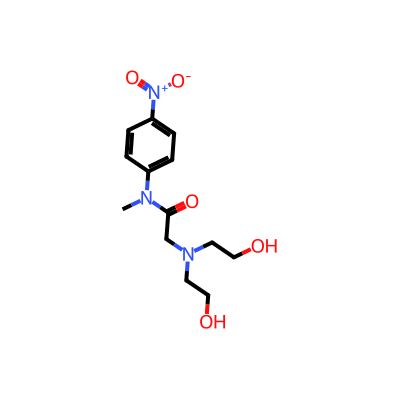 CN(C(=O)CN(CCO)CCO)c1ccc([N+](=O)[O-])cc1